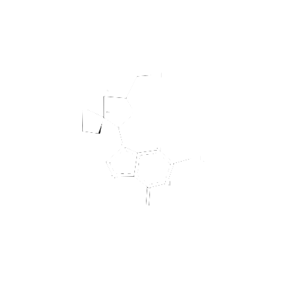 Cc1nc2c(ncn2C2OC(CO)[C@@H](O)[C@]23CCO3)c(=O)[nH]1